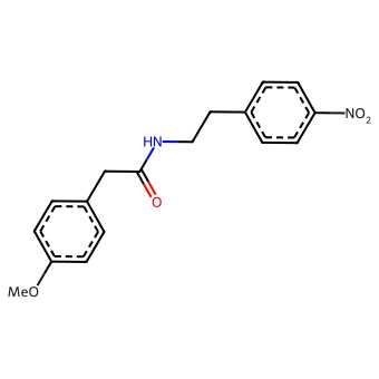 COc1ccc(CC(=O)NCCc2ccc([N+](=O)[O-])cc2)cc1